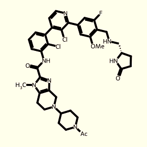 COc1cc(-c2nccc(-c3cccc(NC(=O)c4nc5c(n4C)CCN(C4CCN(C(C)=O)CC4)C5)c3Cl)c2Cl)cc(F)c1CNC[C@@H]1CCC(=O)N1